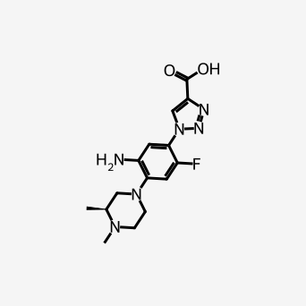 C[C@H]1CN(c2cc(F)c(-n3cc(C(=O)O)nn3)cc2N)CCN1C